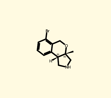 C[C@@]12CNC[C@@H]1c1cccc(Br)c1CO2